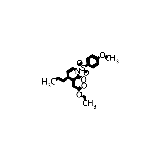 CCCC1C=CN(S(=O)(=O)c2ccc(OC)cc2)C(=O)C1CC(=O)OCC